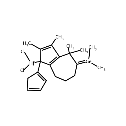 CC1=C(C)[C](C2=CC=CC2)([Hf]([Cl])[Cl])C2=C1C(C)(C)[C](=[Ge]([CH3])[CH3])CCC2